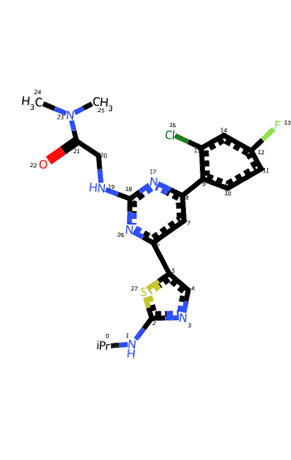 CC(C)Nc1ncc(-c2cc(-c3ccc(F)cc3Cl)nc(NCC(=O)N(C)C)n2)s1